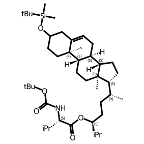 CC(C)[C@H](CC[C@@H](C)[C@H]1CC[C@H]2[C@@H]3CC=C4CC(O[Si](C)(C)C(C)(C)C)CC[C@]4(C)[C@H]3CC[C@]12C)OC(=O)[C@@H](NC(=O)OC(C)(C)C)C(C)C